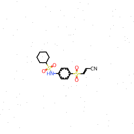 N#CC=CS(=O)(=O)c1ccc(NS(=O)(=O)C2CCCCC2)cc1